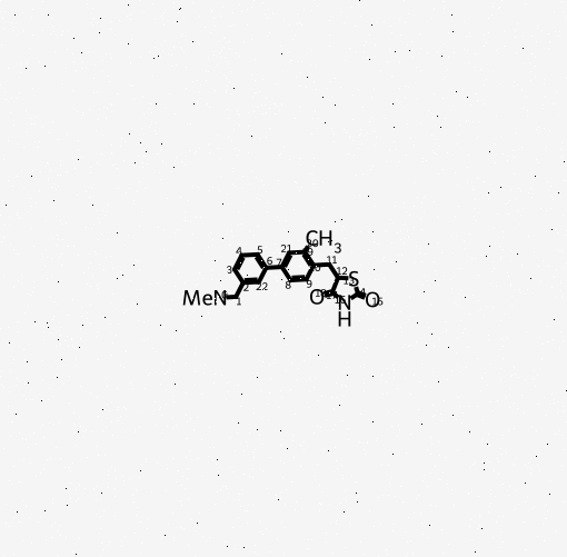 CNCc1cccc(-c2ccc(CC3SC(=O)NC3=O)c(C)c2)c1